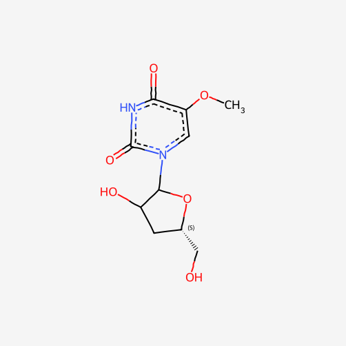 COc1cn(C2O[C@H](CO)CC2O)c(=O)[nH]c1=O